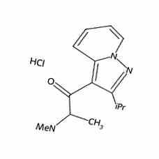 CNC(C)C(=O)c1c(C(C)C)nn2ccccc12.Cl